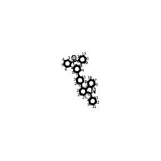 O=P(c1ccccc1)(c1ccccc1)c1ccc(-c2ccc(-c3cccc4c(-c5ccccc5)nc5ccccc5c34)cc2)cc1